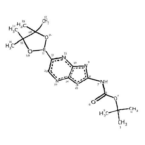 CC(C)(C)OC(=O)Nc1nc2nc(B3OC(C)(C)C(C)(C)O3)cnc2s1